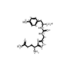 NC(=O)CC[C@H](N)c1noc(CNC(=O)N[C@@H](Cc2ccc(O)cc2)C(=O)O)n1